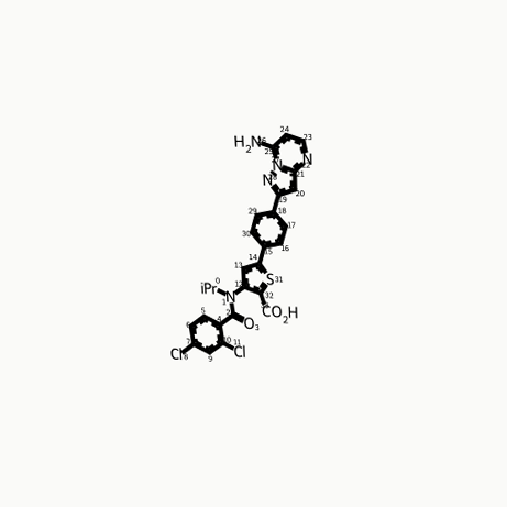 CC(C)N(C(=O)c1ccc(Cl)cc1Cl)c1cc(-c2ccc(-c3cc4nccc(N)n4n3)cc2)sc1C(=O)O